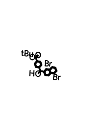 CC(C)(C)OC(=O)c1ccc(C(O)c2ccc3c(Br)ccc(Br)c3c2)cc1